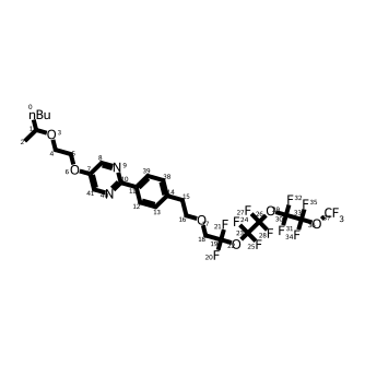 CCCCC(C)OCCOc1cnc(-c2ccc(CCOCC(F)(F)OC(F)(F)C(F)(F)OC(F)(F)C(F)(F)OC(F)(F)F)cc2)nc1